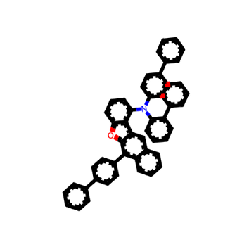 c1ccc(-c2ccc(-c3c4ccccc4cc4c3oc3cccc(N(c5ccc(-c6ccccc6)cc5)c5ccccc5-c5ccccc5)c34)cc2)cc1